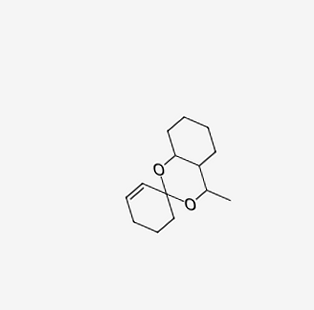 CC1OC2(C=CCCC2)OC2CCCCC12